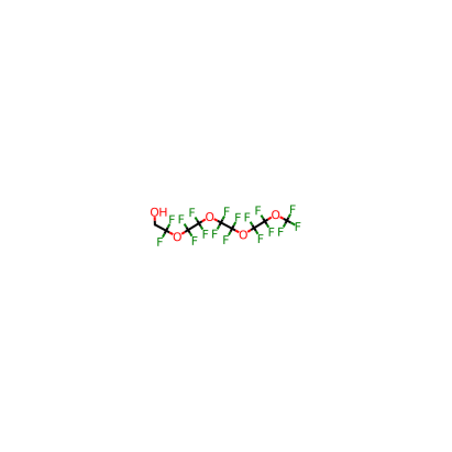 OCC(F)(F)OC(F)(F)C(F)(F)OC(F)(F)C(F)(F)OC(F)(F)C(F)(F)OC(F)(F)F